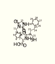 O=C(NC(C(=O)O)c1ccc(CN2C(=O)CNC2=O)s1)C(CS)CCc1ccccc1